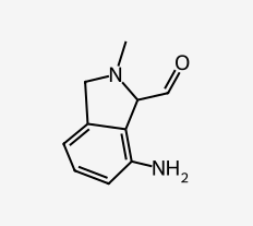 CN1Cc2cccc(N)c2C1C=O